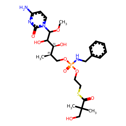 COC(C(O)[C@@H](O)[C@H](C)COP(=O)(NCc1ccccc1)OCCSC(=O)C(C)(C)CO)n1ccc(N)nc1=O